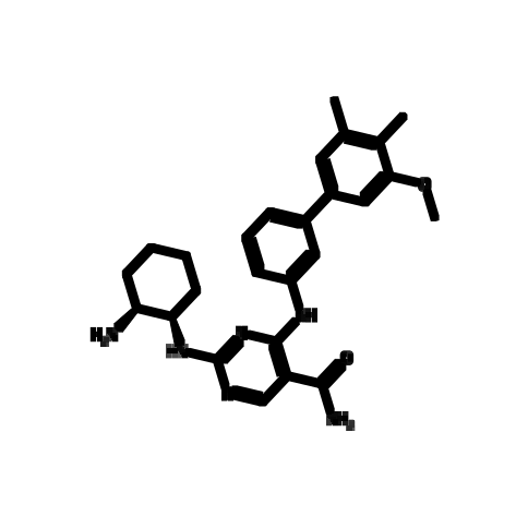 COc1cc(-c2cccc(Nc3nc(N[C@@H]4CCCC[C@@H]4N)ncc3C(N)=O)c2)cc(C)c1C